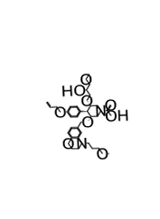 C=CCOc1ccc([C@@H]2[C@@H](OCc3ccc4c(c3)N(CCCOC)CCO4)CN(C(=O)O)C[C@H]2OCC(O)COC)cc1